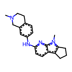 CN1CCc2ccc(Nc3ccc4c5c(n(C)c4n3)CCC5)cc2C1